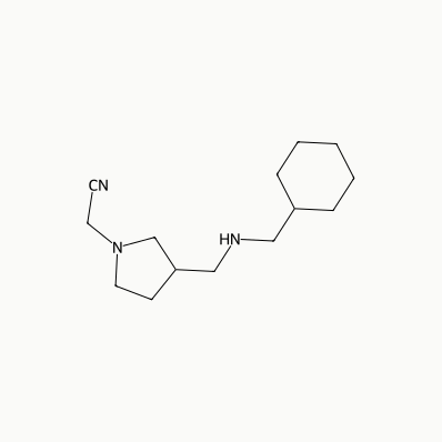 N#CCN1CCC(CNCC2CCCCC2)C1